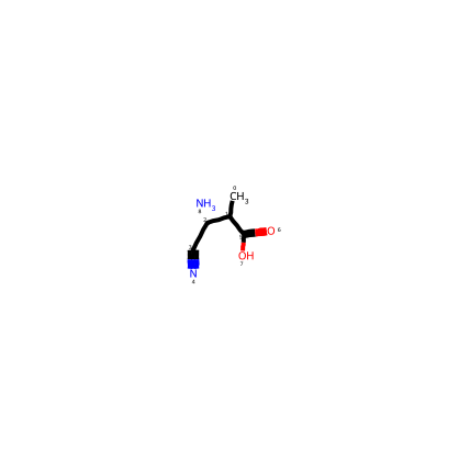 CC(CC#N)C(=O)O.N